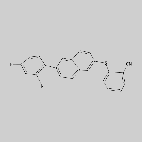 N#Cc1ccccc1Sc1ccc2cc(-c3ccc(F)cc3F)ccc2c1